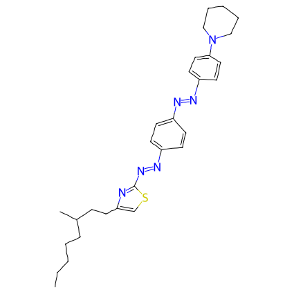 CCCCCC(C)CCc1csc(/N=N/c2ccc(/N=N/c3ccc(N4CCCCC4)cc3)cc2)n1